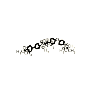 CC(C)(C)c1ccc(-c2ccc(S(=O)(=O)C(C)(C)C(C)(C)c3ccc(Oc4ccc(S(=O)(=O)C(C)(C)C)cc4)cc3)cc2)cc1